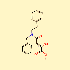 COC(=O)/C(O)=C/C(=O)N(CCc1ccccc1)Cc1ccccc1